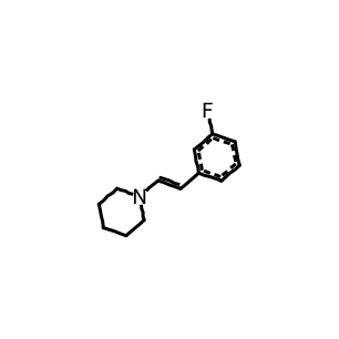 Fc1cccc(C=CN2CCCCC2)c1